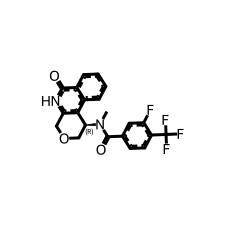 CN(C(=O)c1ccc(C(F)(F)F)c(F)c1)[C@H]1COCc2[nH]c(=O)c3ccccc3c21